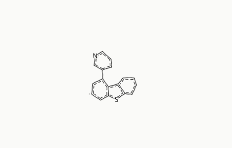 [c]1cc(-c2cccnc2)c2c(c1)sc1ccccc12